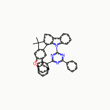 CC1(C)c2cc3oc4ccccc4c3cc2-c2c1ccc1c3ccccc3n(-c3nc(-c4ccccc4)nc(-c4ccccc4)n3)c21